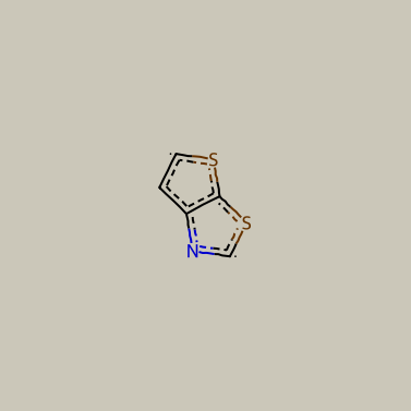 [c]1cc2n[c]sc2s1